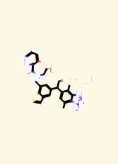 CCOC(=O)CC(c1cc(CN2C[C@@H](CC)Oc3cccnc3[C@@H]2C)c2sccc2c1)c1cc(C)c2c(nnn2C)c1C